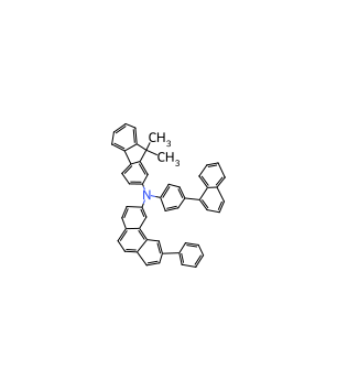 CC1(C)c2ccccc2-c2ccc(N(c3ccc(-c4cccc5ccccc45)cc3)c3ccc4ccc5ccc(-c6ccccc6)cc5c4c3)cc21